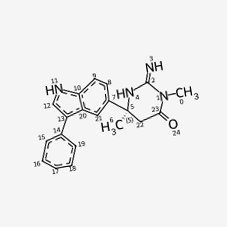 CN1C(=N)N[C@](C)(c2ccc3[nH]cc(-c4ccccc4)c3c2)CC1=O